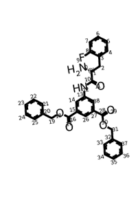 N[C@H](Cc1ccccc1F)C(=O)Nc1cc(C(=O)OCc2ccccc2)cc(C(=O)OCc2ccccc2)c1